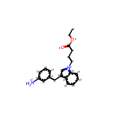 CCOC(=O)CCCn1cc(Cc2cccc(N)c2)c2ccccc21